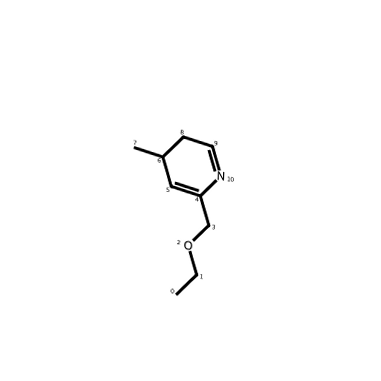 CCOCC1=CC(C)CC=N1